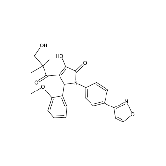 COc1ccccc1C1C(C(=O)C(C)(C)CO)=C(O)C(=O)N1c1ccc(-c2ccon2)cc1